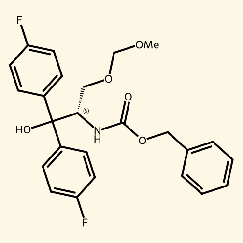 COCOC[C@H](NC(=O)OCc1ccccc1)C(O)(c1ccc(F)cc1)c1ccc(F)cc1